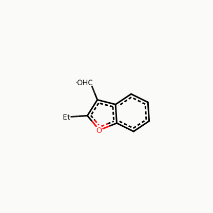 CCc1oc2ccccc2c1[C]=O